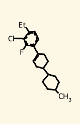 CCc1ccc(C2=CCC(C3CCC(C)CC3)CC2)c(F)c1Cl